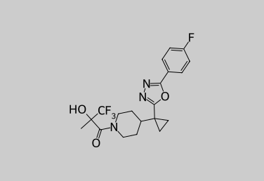 CC(O)(C(=O)N1CCC(C2(c3nnc(-c4ccc(F)cc4)o3)CC2)CC1)C(F)(F)F